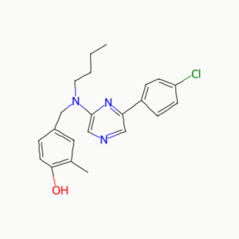 CCCCN(Cc1ccc(O)c(C)c1)c1cncc(-c2ccc(Cl)cc2)n1